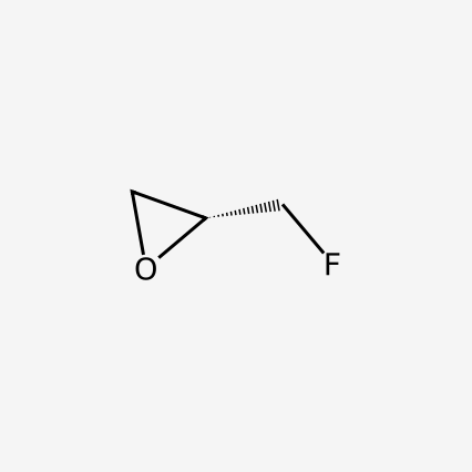 FC[C@H]1CO1